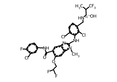 CC([C@H](O)NCc1ccc(Cl)c(Nc2nc3cc(C(=O)Nc4ccc(F)c(Cl)c4)c(OCC(F)F)cc3n2C)c1Cl)C(F)(F)F